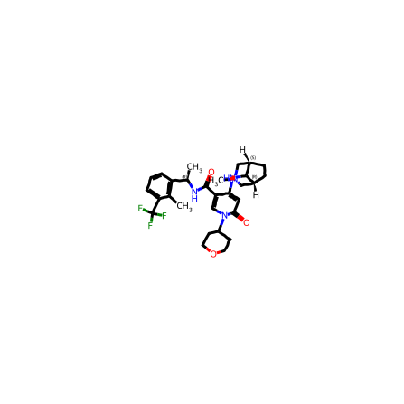 Cc1c([C@@H](C)NC(=O)c2cn(C3CCOCC3)c(=O)cc2NC2[C@@H]3CC[C@H]2CN(C)C3)cccc1C(F)(F)F